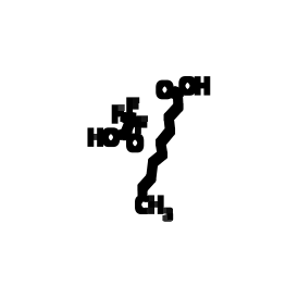 CCCCCCCCCC(=O)O.O=C(O)C(F)(F)F